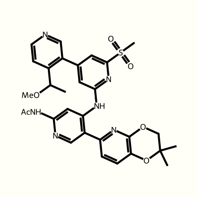 COC(C)c1ccncc1-c1cc(Nc2cc(NC(C)=O)ncc2-c2ccc3c(n2)OCC(C)(C)O3)nc(S(C)(=O)=O)c1